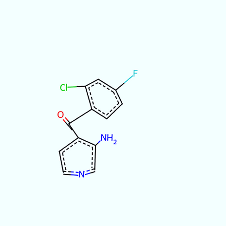 Nc1cnccc1C(=O)c1ccc(F)cc1Cl